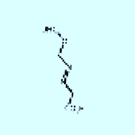 O=COCN=NCC(=O)O